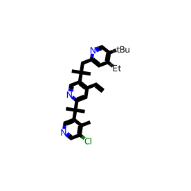 C=Cc1cc(C(C)(C)c2cncc(Cl)c2C)ncc1C(C)(C)Cc1cc(CC)c(C(C)(C)C)cn1